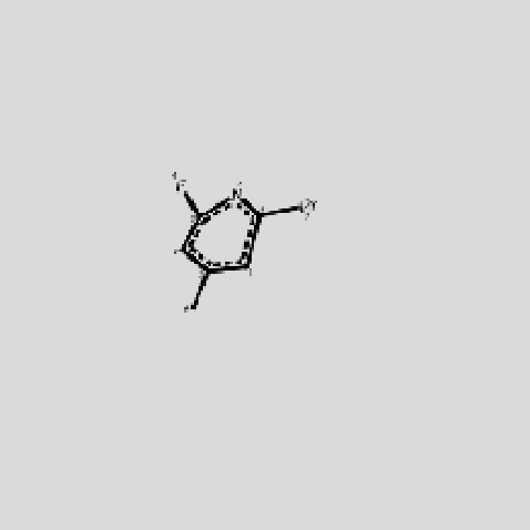 Cc1cc(F)nc(C(C)C)c1